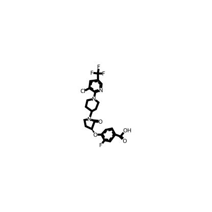 O=C(O)c1ccc(O[C@H]2CCN(C3CCN(c4ncc(C(F)(F)F)cc4Cl)CC3)C2=O)c(F)c1